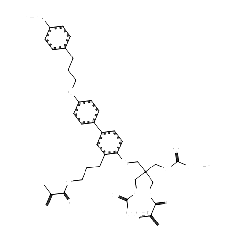 C=C(C)C(=O)OCCCc1cc(-c2ccc(OCCCc3ccc(CCCCCC)cc3)cc2)ccc1OCC(COC(=O)C(=C)C)(COC(=O)C(=O)OCC)COC(=O)C(=O)OCC